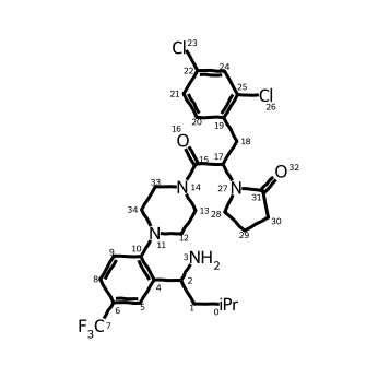 CC(C)CC(N)c1cc(C(F)(F)F)ccc1N1CCN(C(=O)C(Cc2ccc(Cl)cc2Cl)N2CCCC2=O)CC1